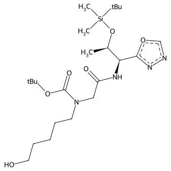 C[C@@H](O[Si](C)(C)C(C)(C)C)[C@H](NC(=O)CN(CCCCCO)C(=O)OC(C)(C)C)c1nnco1